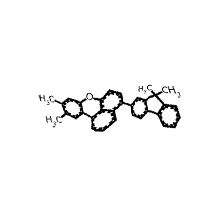 Cc1cc2c(cc1C)-c1cccc3c(-c4ccc5c(c4)C(C)(C)c4ccccc4-5)ccc(c13)O2